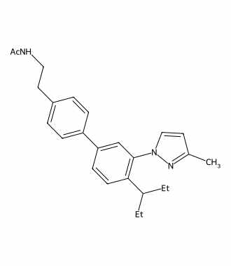 CCC(CC)c1ccc(-c2ccc(CCNC(C)=O)cc2)cc1-n1ccc(C)n1